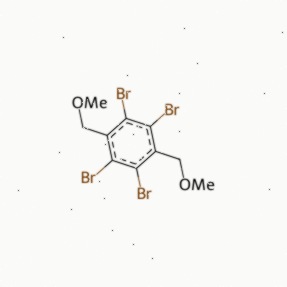 COCc1c(Br)c(Br)c(COC)c(Br)c1Br